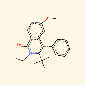 CCn1c(C(C)(C)C)c(-c2ccccc2)c2cc(OC)ccc2c1=O